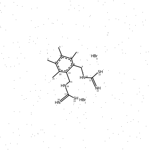 Br.Br.Cc1c(C)c(C)c(CNC(=N)S)c(CNC(=N)S)c1C